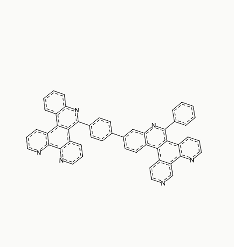 c1ccc(-c2nc3cc(-c4ccc(-c5nc6ccccc6c6c7cccnc7c7ncccc7c56)cc4)ccc3c3c4ccncc4c4ncccc4c23)cc1